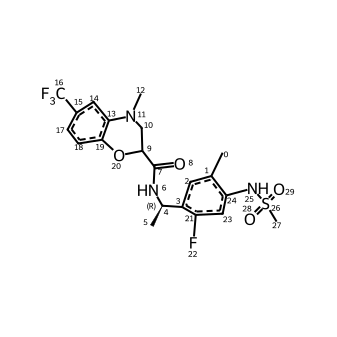 Cc1cc([C@@H](C)NC(=O)C2CN(C)c3cc(C(F)(F)F)ccc3O2)c(F)cc1NS(C)(=O)=O